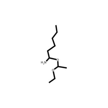 CCCCCC(N)OC(C)OCC